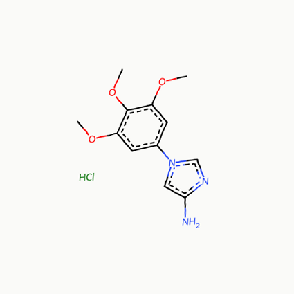 COc1cc(-n2cnc(N)c2)cc(OC)c1OC.Cl